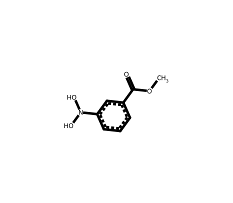 COC(=O)c1cccc(N(O)O)c1